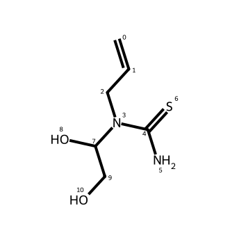 C=CCN(C(N)=S)C(O)CO